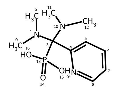 CN(C)C(c1ccccn1)(N(C)C)P(=O)(O)O